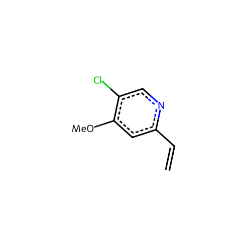 C=Cc1cc(OC)c(Cl)cn1